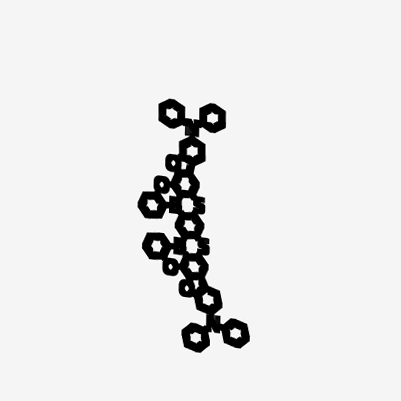 c1ccc(N(c2ccccc2)c2ccc3c(c2)oc2c4c5c(cc23)Sc2cc3c(cc2B5c2ccccc2O4)B2c4ccccc4Oc4c2c(cc2c4oc4cc(N(c5ccccc5)c5ccccc5)ccc42)S3)cc1